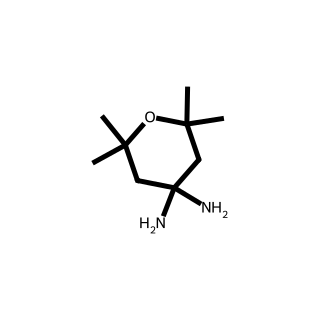 CC1(C)CC(N)(N)CC(C)(C)O1